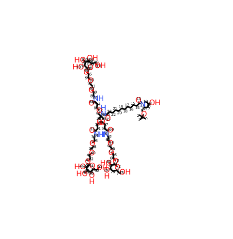 CC(C)(C)OC[C@@H]1C[C@@H](O)CN1C(=O)CCCCCCCCCCC(=O)NC(COCCC(=O)NCCOCCOCCOC1=C(O)C(O)[C@H](O)C(CO)O1)(COCCC(=O)NCCOCCOCCO[C@H]1OC(CO)CC(O)C1O)COCCC(=O)NCCOCCOCCO[C@H]1OC(CO)[C@@H](O)C(O)C1O